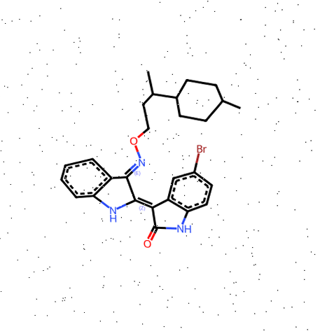 CC1CCC(C(C)CCO/N=C2/C(=C3/C(=O)Nc4ccc(Br)cc43)Nc3ccccc32)CC1